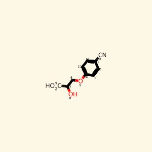 N#Cc1ccc(OCC(O)C(=O)O)cc1